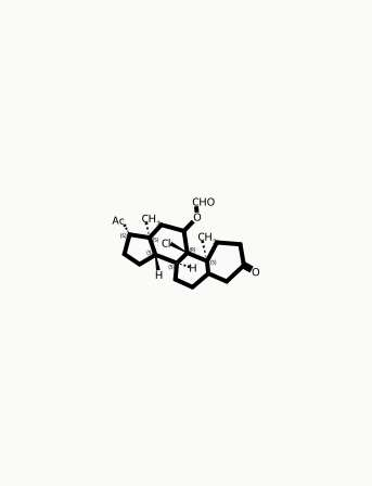 CC(=O)[C@H]1CC[C@H]2[C@@H]3CCC4CC(=O)CC[C@]4(C)[C@@]3(Cl)C(OC=O)C[C@]12C